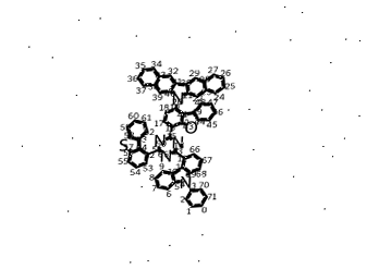 c1ccc(-n2c3ccccc3c3c(-c4nc(-c5ccc(-n6c7cc8ccccc8cc7c7cc8ccccc8cc76)c6c5oc5ccccc56)nc(-c5cccc6sc7ccccc7c56)n4)cccc32)cc1